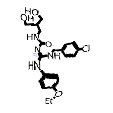 CCOc1ccc(N/C(=N/C(=O)NCC(CO)CO)NCc2ccc(Cl)cc2)cc1